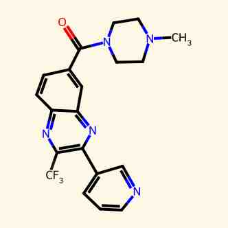 CN1CCN(C(=O)c2ccc3nc(C(F)(F)F)c(-c4cccnc4)nc3c2)CC1